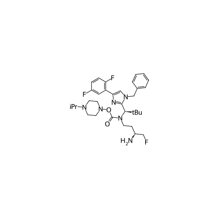 CC(C)N1CCN(OC(=O)N(CC[C@H](N)CF)[C@@H](c2nc(-c3cc(F)ccc3F)cn2Cc2ccccc2)C(C)(C)C)CC1